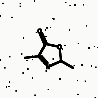 CC1=NC(C)OC1=O